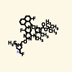 C#Cc1c(F)ccc2cccc(-c3ncc4c(N(C)[C@@H]5CCN(C(=O)OC(C)(C)C)[C@@H]5C)nc(OC[C@H]5C/C(=C\F)CN5C)nc4c3F)c12